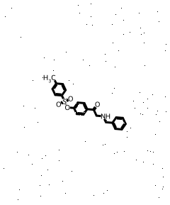 Cc1ccc(S(=O)(=O)Oc2ccc(C(=O)CNCc3ccccc3)cc2)cc1